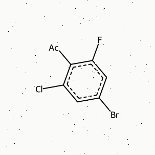 CC(=O)c1c(F)cc(Br)cc1Cl